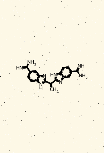 C=C(c1nc2cc(C(=N)N)ccc2[nH]1)c1nc2cc(C(=N)N)ccc2[nH]1